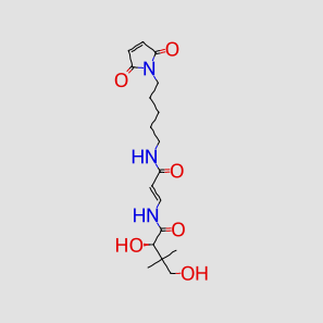 CC(C)(CO)[C@@H](O)C(=O)N/C=C/C(=O)NCCCCCN1C(=O)C=CC1=O